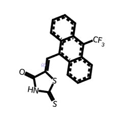 O=C1NC(=S)S/C1=C\c1c2ccccc2c(C(F)(F)F)c2ccccc12